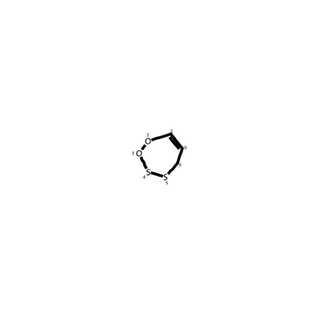 C1=COOSSC1